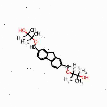 CC(C)(O)C(C)(C)OBc1ccc2c(c1)Cc1cc(BOC(C)(C)C(C)(C)O)ccc1-2